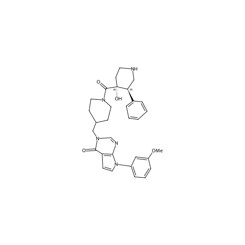 COc1cccc(-n2ccc3c(=O)n(CC4CCN(C(=O)[C@@]5(O)CCNC[C@H]5c5ccccc5)CC4)cnc32)c1